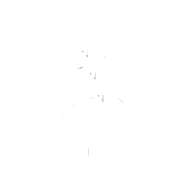 Cc1cc([C@@H](C)Nc2ccc(F)cc2S(C)(=O)=O)c2nc([C@@H]3CCCOC3)n(C)c(=O)c2c1